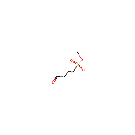 COS(=O)(=O)CCCC=O